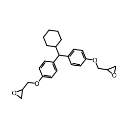 c1cc(C(c2ccc(OCC3CO3)cc2)C2CCCCC2)ccc1OCC1CO1